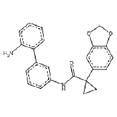 Nc1ccccc1-c1cccc(NC(=O)C2(c3ccc4c(c3)OCO4)CC2)c1